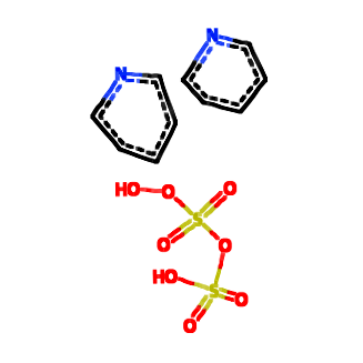 O=S(=O)(O)OS(=O)(=O)OO.c1ccncc1.c1ccncc1